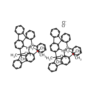 CC(C)(C)c1ccc2c([c]1[Hf]([c]1c(C(C)(C)C)ccc3c1Cc1ccccc1-3)=[Si](c1ccccc1)c1ccccc1)Cc1ccccc1-2.CC(C)(C)c1ccc2c([c]1[Hf]([c]1c(C(C)(C)C)ccc3c1Cc1ccccc1-3)=[Si](c1ccccc1)c1ccccc1)Cc1ccccc1-2.[Cl-].[Cl-]